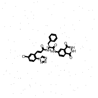 O=C(C=Cc1cc(Cl)ccc1-n1cnnn1)N[C@@H](Cc1ccccc1)C(=O)Nc1ccc2c(=O)[nH][nH]c(=O)c2c1